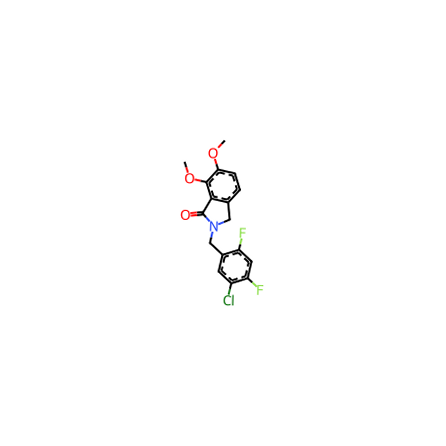 COc1ccc2c(c1OC)C(=O)N(Cc1cc(Cl)c(F)cc1F)C2